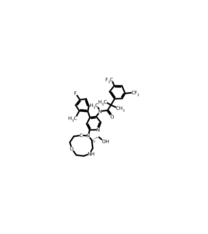 Cc1cc(F)ccc1-c1cc(N2CCCOCCNC[C@H]2CO)ncc1N(C)C(=O)C(C)(C)c1cc(C(F)(F)F)cc(C(F)(F)F)c1